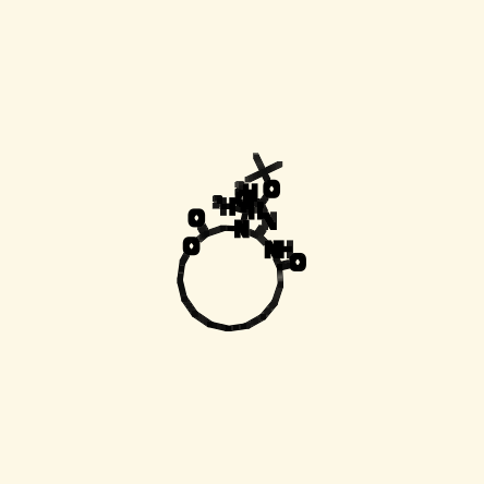 [2H]C([2H])([2H])N1CC(=O)OCCCCCCCCCCC(=O)N/C1=N/C(=O)OC(C)(C)C